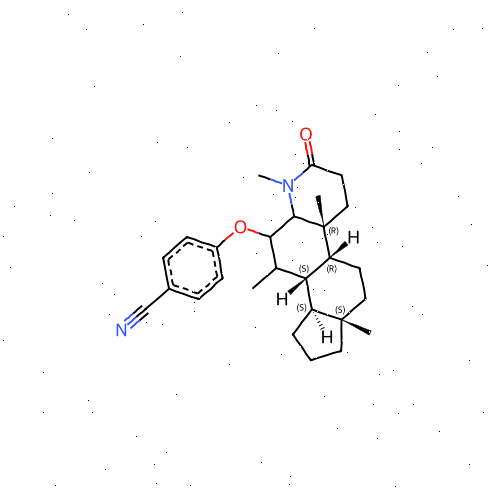 CC1C(Oc2ccc(C#N)cc2)C2N(C)C(=O)CC[C@]2(C)[C@@H]2CC[C@]3(C)CCC[C@H]3[C@H]12